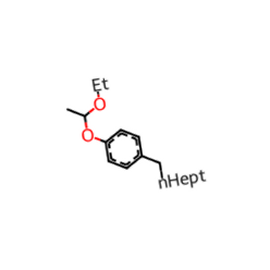 CCCCCCCCc1ccc(OC(C)OCC)cc1